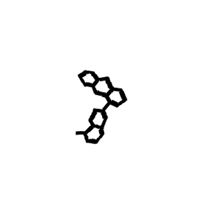 Cc1cccc2cc(-c3cccc4cc5ccccc5cc34)ccc12